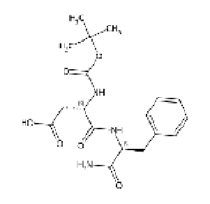 CC(C)(C)OC(=O)N[C@@H](CC(=O)O)C(=O)N[C@@H](Cc1ccccc1)C(N)=O